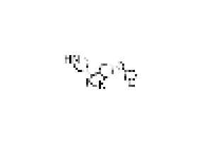 c1nc(C2CCNCC2)c2ccc(O[C@@H]3CCOC3)cc2n1